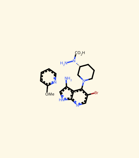 COc1ccccn1.Nc1c[nH]c2ncc(Br)c(N3CCC[C@@H](N(N)C(=O)O)C3)c12